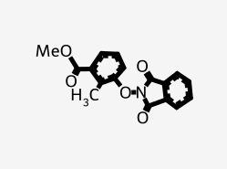 COC(=O)c1cccc(ON2C(=O)c3ccccc3C2=O)c1C